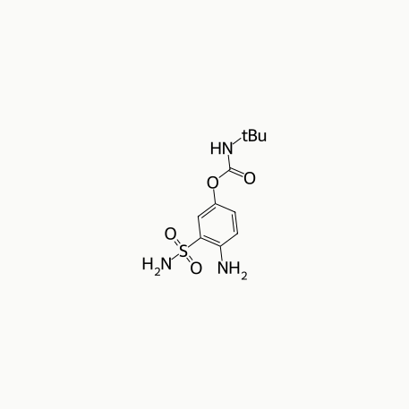 CC(C)(C)NC(=O)Oc1ccc(N)c(S(N)(=O)=O)c1